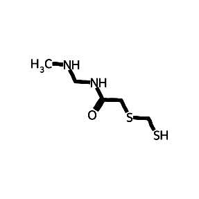 CNCNC(=O)CSCS